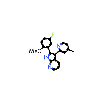 COc1ccc(F)cc1-c1[nH]c2ncccc2c1-c1cc(C)ccn1